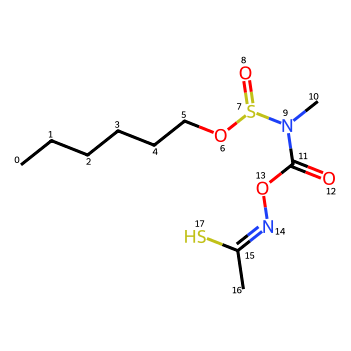 CCCCCCOS(=O)N(C)C(=O)ON=C(C)S